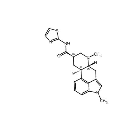 CN1C[C@H](C(=O)Nc2nccs2)C[C@@H]2c3cccc4c3c(cn4C)C[C@H]21